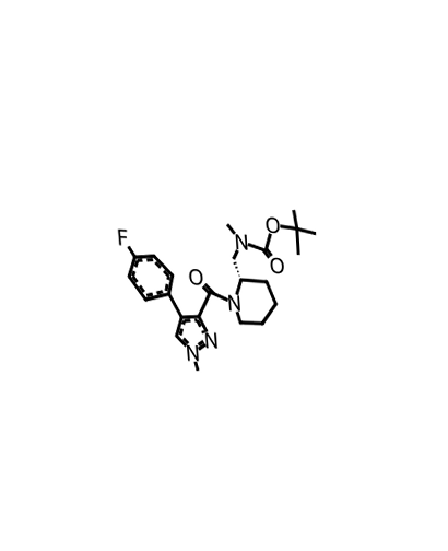 CN(C[C@@H]1CCCCN1C(=O)c1nn(C)cc1-c1ccc(F)cc1)C(=O)OC(C)(C)C